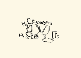 Cc1ccc(-c2ccccc2C(F)(F)F)cc1C1=C(O)C(C)(C)OC(C)(C)C1=O